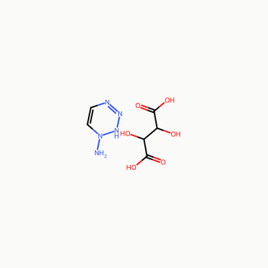 NN1C=CN=NN1.O=C(O)C(O)C(O)C(=O)O